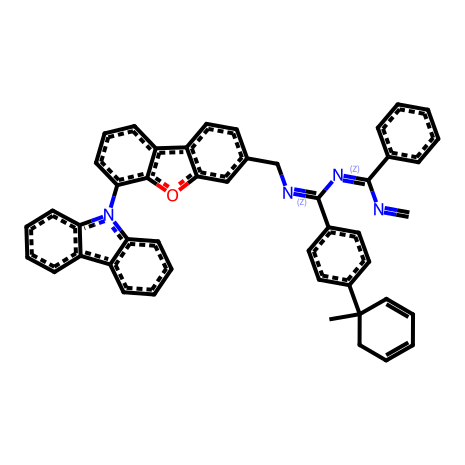 C=N/C(=N\C(=N/Cc1ccc2c(c1)oc1c(-n3c4ccccc4c4ccccc43)cccc12)c1ccc(C2(C)C=CC=CC2)cc1)c1ccccc1